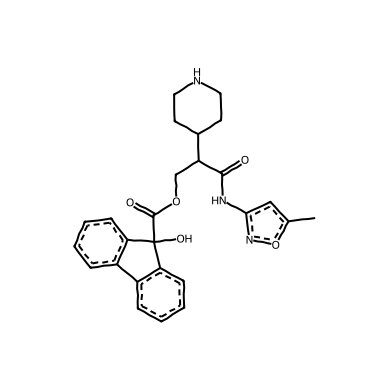 Cc1cc(NC(=O)C(COC(=O)C2(O)c3ccccc3-c3ccccc32)C2CCNCC2)no1